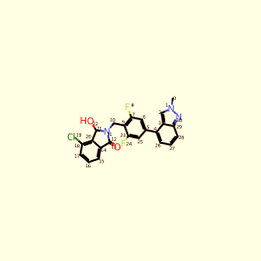 Cn1cc2c(-c3cc(F)c(CN4C(=O)c5cccc(Cl)c5C4O)c(F)c3)cccc2n1